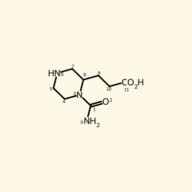 NC(=O)N1CCNCC1CCC(=O)O